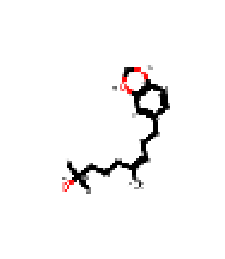 CCC(=CCCc1ccc2c(c1)OCO2)CCCC(C)(C)O